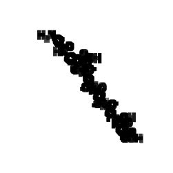 COc1cc(N=Nc2ccc(S(=O)(=O)O)cc2S(=O)(=O)O)c(C)cc1N=Nc1cc(OC)c(N=Nc2cc(OC)c(N=Nc3c(S(=O)(=O)O)cc4cc(NC(=O)c5ccc(N)cc5)ccc4c3O)cc2OC)cc1OC